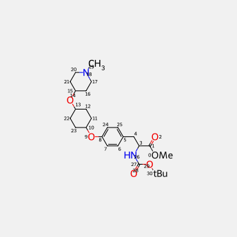 COC(=O)C(Cc1ccc(OC2CCC(OC3CCN(C)CC3)CC2)cc1)NC(=O)OC(C)(C)C